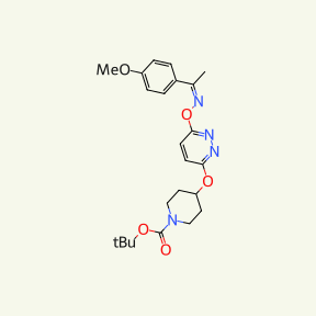 COc1ccc(/C(C)=N\Oc2ccc(OC3CCN(C(=O)OC(C)(C)C)CC3)nn2)cc1